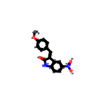 COc1ccc(/C=C2\C(=O)Nc3ccc([N+](=O)[O-])cc32)cc1